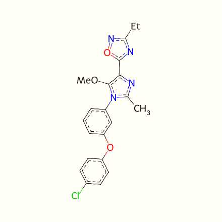 CCc1noc(-c2nc(C)n(-c3cccc(Oc4ccc(Cl)cc4)c3)c2OC)n1